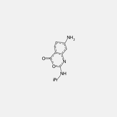 CC(C)Nc1nc2cc(N)ccc2c(=O)o1